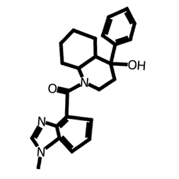 Cn1cnc2c(C(=O)N3CCC(O)(c4ccccc4)C4CCCCC43)cccc21